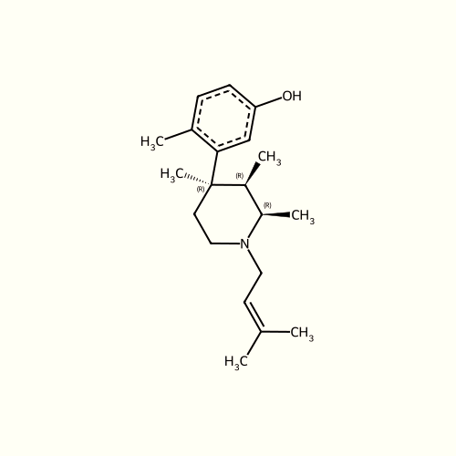 CC(C)=CCN1CC[C@@](C)(c2cc(O)ccc2C)[C@@H](C)[C@H]1C